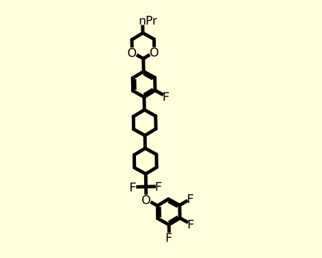 CCCC1COC(c2ccc(C3CCC(C4CCC(C(F)(F)Oc5cc(F)c(F)c(F)c5)CC4)CC3)c(F)c2)OC1